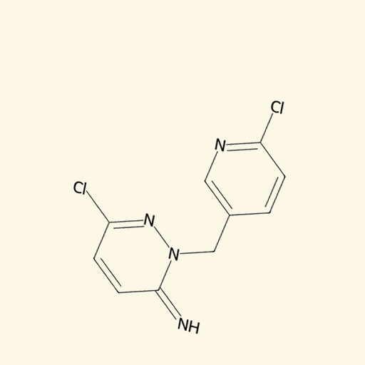 N=c1ccc(Cl)nn1Cc1ccc(Cl)nc1